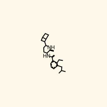 C=C(NC1CCC(C2CC3CCC32)NC1=C)c1cccc(CC(C)C)c1CC